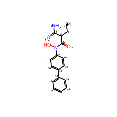 CC(C)CC(C(N)=O)C(=O)N(O)c1ccc(-c2ccccc2)cc1